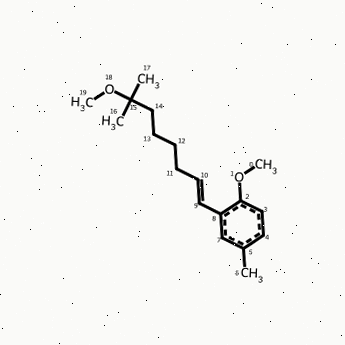 COc1ccc(C)cc1/C=C/CCCCC(C)(C)OC